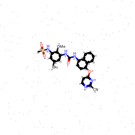 COc1c(NC(=O)Nc2ccc(Oc3ccnc(C#N)n3)c3ccccc23)cc(C(C)(C)C)cc1NS(C)(=O)=O